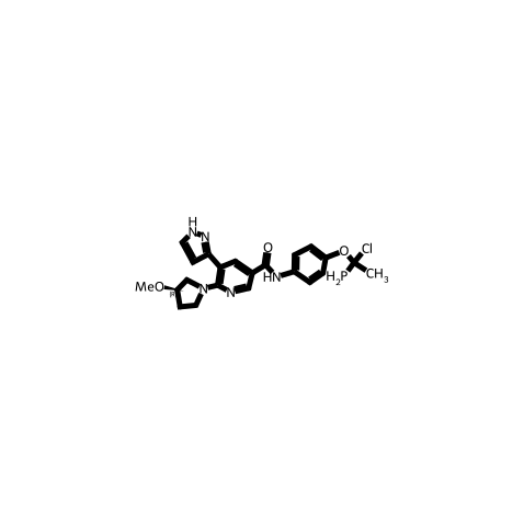 CO[C@@H]1CCN(c2ncc(C(=O)Nc3ccc(OC(C)(P)Cl)cc3)cc2-c2cc[nH]n2)C1